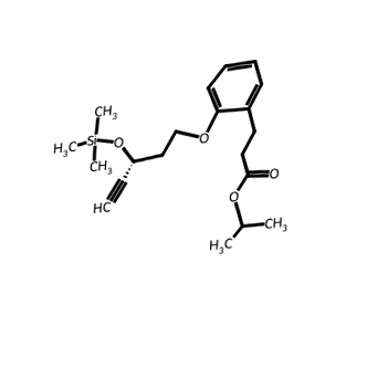 C#C[C@@H](CCOc1ccccc1CCC(=O)OC(C)C)O[Si](C)(C)C